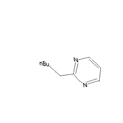 [CH2]CCCCc1ncccn1